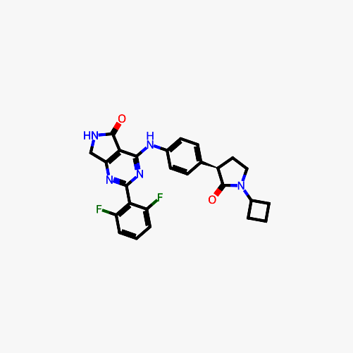 O=C1NCc2nc(-c3c(F)cccc3F)nc(Nc3ccc([C@H]4CCN(C5CCC5)C4=O)cc3)c21